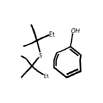 CCC(C)(C)SC(C)(C)CC.Oc1ccccc1